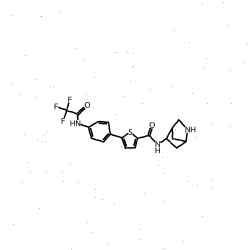 O=C(NC1CC2CC1CN2)c1ccc(-c2ccc(NC(=O)C(F)(F)F)cc2)s1